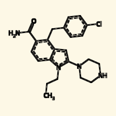 CCCn1c(N2CCNCC2)cc2c(Cc3ccc(Cl)cc3)c(C(N)=O)ccc21